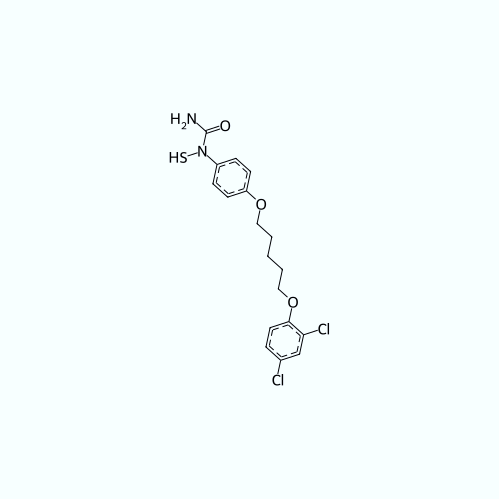 NC(=O)N(S)c1ccc(OCCCCCOc2ccc(Cl)cc2Cl)cc1